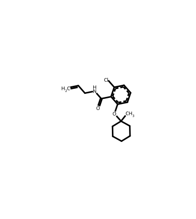 C=CCNC(=O)c1c(Cl)cccc1OC1(C)CCCCC1